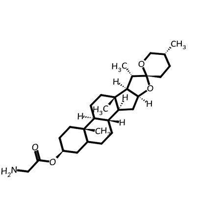 C[C@@H]1CC[C@@]2(OC1)O[C@H]1C[C@H]3[C@@H]4CCC5C[C@@H](OC(=O)CN)CC[C@]5(C)[C@H]4CC[C@]3(C)[C@H]1[C@@H]2C